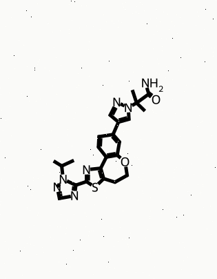 CC(C)n1ncnc1-c1nc2c(s1)CCOc1cc(-c3cnn(C(C)(C)C(N)=O)c3)ccc1-2